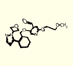 COCCOc1cc(C=O)c(OCC2=C(c3ccnn3C3COC3)CCCC2)cn1